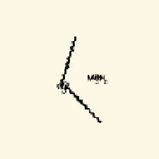 CCCCCCCCCCCCCCCCCC(=O)OC(=O)CCCCCCCCCCCCCCCCC.[AlH3].[MgH2]